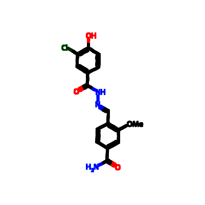 COc1cc(C(N)=O)ccc1C=NNC(=O)c1ccc(O)c(Cl)c1